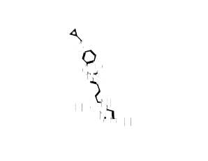 Cc1cc(N[C@@H](C)/C=C/c2cnc(Oc3ccc(OCC4CC4)cc3Cl)s2)no1